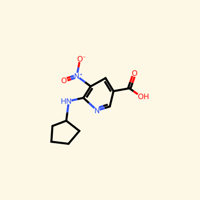 O=C(O)c1cnc(NC2CCCC2)c([N+](=O)[O-])c1